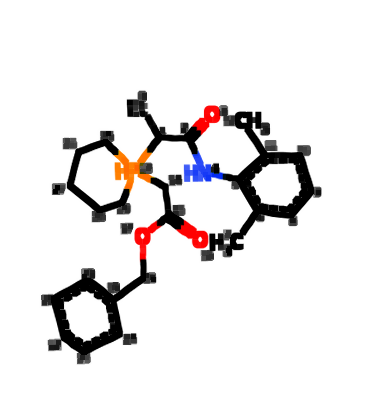 CCC(C(=O)Nc1c(C)cccc1C)[PH]1(CC(=O)OCc2ccccc2)CCCCC1